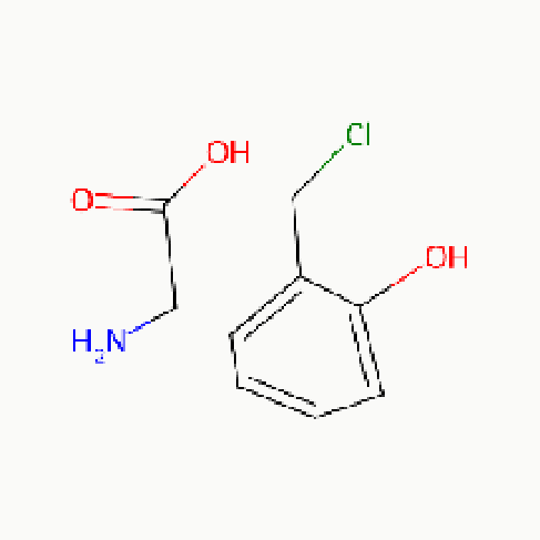 NCC(=O)O.Oc1ccccc1CCl